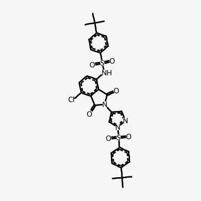 CC(C)(C)c1ccc(S(=O)(=O)Nc2ccc(Cl)c3c2C(=O)N(c2cnn(S(=O)(=O)c4ccc(C(C)(C)C)cc4)c2)C3=O)cc1